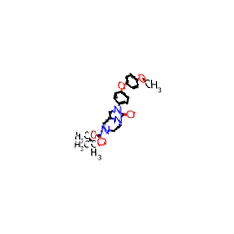 COc1ccc(Oc2ccc(N3CC4CN(C(=O)OC(C)(C)C)CCN4C3=O)cc2)cc1